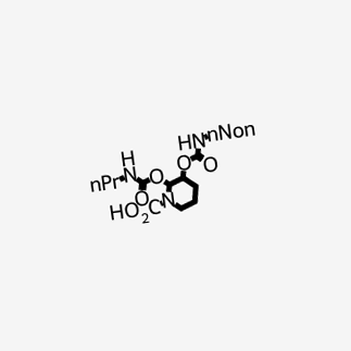 CCCCCCCCCNC(=O)OC1CCCN(C(=O)O)C1OC(=O)NCCC